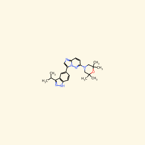 CC(C)c1n[nH]c2ccc(-c3cnc4ccc(N5CC(C)(C)OC(C)(C)C5)nn34)cc12